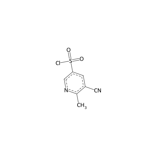 Cc1ncc(S(=O)(=O)Cl)cc1C#N